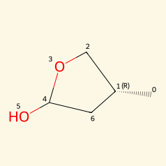 C[C@H]1COC(O)C1